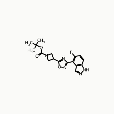 CC(C)(C)OC(=O)N1CC(c2nc(-c3c(F)ccc4[nH]ncc34)no2)C1